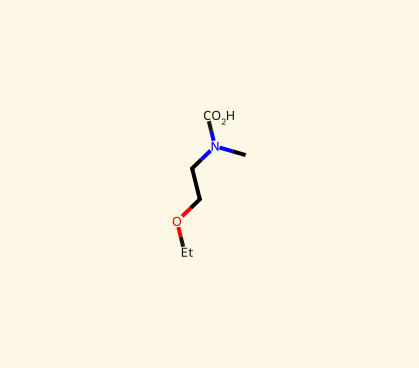 CCOCCN(C)C(=O)O